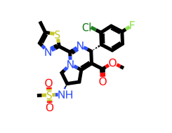 COC(=O)C1=C2C[C@H](NS(C)(=O)=O)CN2C(c2ncc(C)s2)=N[C@@H]1c1ccc(F)cc1Cl